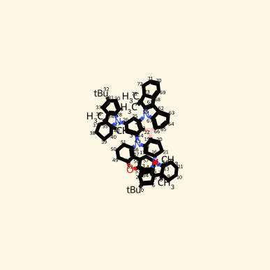 CC(C)(C)c1ccc2c(c1)C1(C)CCCCC1(C)N2C1C=C2C(=CC1)B1C3=C(CC(N4c5ccc(C(C)(C)C)cc5C5(C)CCCCC45C)C=C3N2C2=C3C(CCC2)OC2=CCCCC23)n2c3c(c4cccc1c42)C1=CC=CCC1C3(C)C